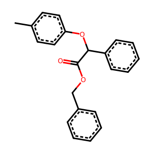 Cc1ccc(OC(C(=O)OCc2ccccc2)c2ccccc2)cc1